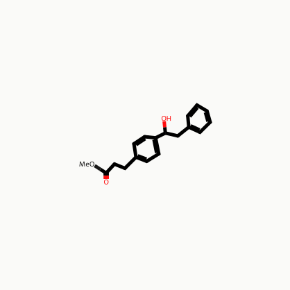 COC(=O)CCc1ccc(C(O)Cc2ccccc2)cc1